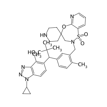 Cc1ccc(C(c2ccc3c(nnn3C3CC3)c2C)C(C)(C)C(=O)O)cc1CN1CC2(CCNCC2)Oc2ncccc2S1(=O)=O